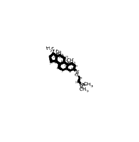 C[C@H]1CCC2C3CCC4CC(=NOCCN(C)C)CC[C@]4(C)C3CC[C@@]21C